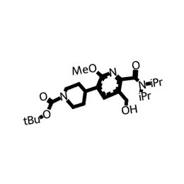 COc1nc(C(=O)N(C(C)C)C(C)C)c(CO)cc1C1CCN(C(=O)OC(C)(C)C)CC1